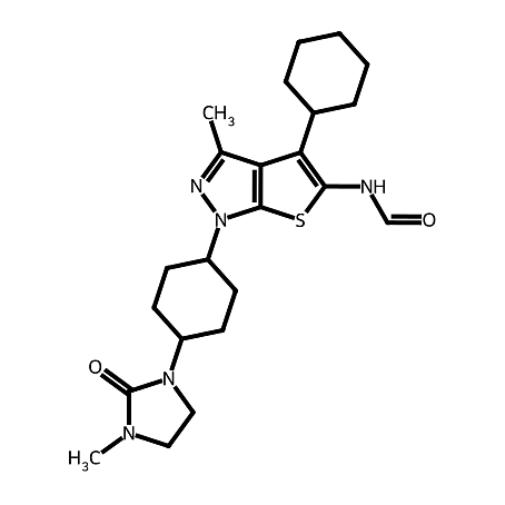 Cc1nn(C2CCC(N3CCN(C)C3=O)CC2)c2sc(NC=O)c(C3CCCCC3)c12